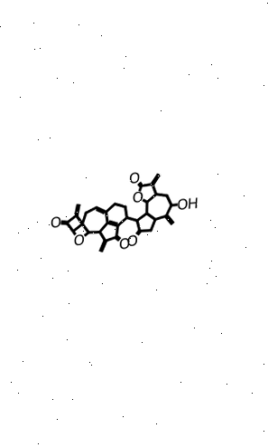 C=C1C(=O)OC2C1CC(O)C(=C)C1CC(=O)C(C3CCC4=CCC56C(=C)C(=O)C5OC6C5C(=C)C(=O)C3=C45)C12